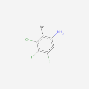 CC(=O)c1c(N)cc(F)c(F)c1Cl